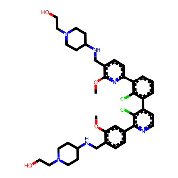 COc1cc(-c2nccc(-c3cccc(-c4ccc(CNC5CCN(CCO)CC5)c(OC)n4)c3Cl)c2Cl)ccc1CNC1CCN(CCO)CC1